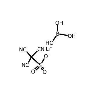 N#CC(C#N)(C#N)S(=O)(=O)[O-].OB(O)O.[Li+]